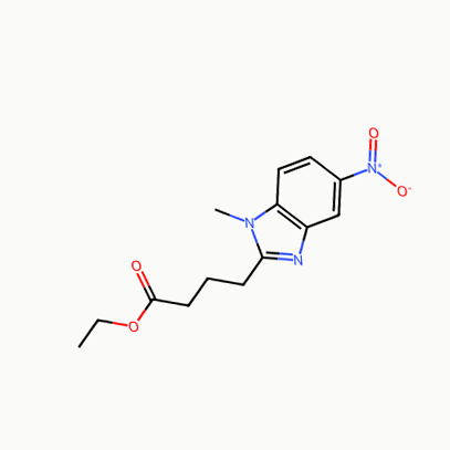 CCOC(=O)CCCc1nc2cc([N+](=O)[O-])ccc2n1C